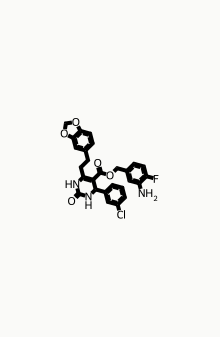 Nc1cc(COC(=O)C2=C(CCc3ccc4c(c3)OCO4)NC(=O)NC2c2cccc(Cl)c2)ccc1F